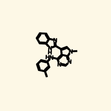 Cc1cccc(Nc2ncnc3c2c(-c2nc4ccccc4[nH]2)cn3C)c1